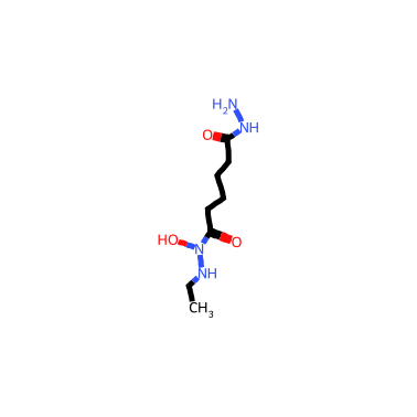 CCNN(O)C(=O)CCCCC(=O)NN